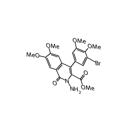 COC(=O)c1c(-c2cc(Br)c(OC)c(OC)c2)c2cc(OC)c(OC)cc2c(=O)n1N